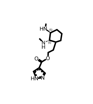 CN[C@H]1CCCC(CCOC(=O)c2cn[nH]c2)[C@@H]1NC